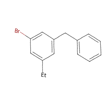 CCc1cc(Br)cc(Cc2ccccc2)c1